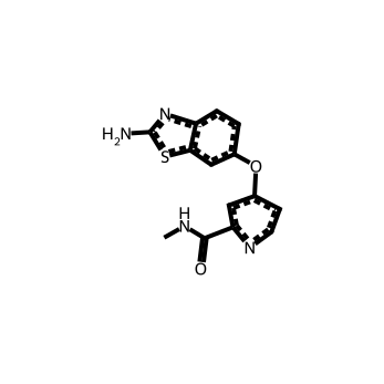 CNC(=O)c1cc(Oc2ccc3nc(N)sc3c2)ccn1